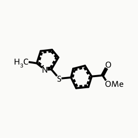 COC(=O)c1ccc(Sc2cccc(C)n2)cc1